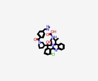 CNCc1ccc(C(=O)N2CCCC(C(O)(CCCNC(=O)O)c3cccc(Cl)c3-c3nc(C(C)C)c4ccccc4n3)C2)cc1